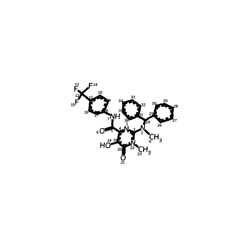 CN(c1nc(C(=O)Nc2ccc(C(F)(F)F)cc2)c(O)c(=O)n1C)C(c1ccccc1)c1ccccc1